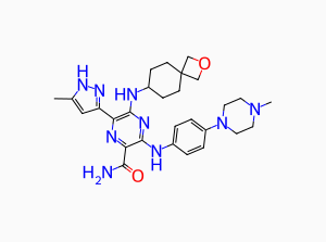 Cc1cc(-c2nc(C(N)=O)c(Nc3ccc(N4CCN(C)CC4)cc3)nc2NC2CCC3(CC2)COC3)n[nH]1